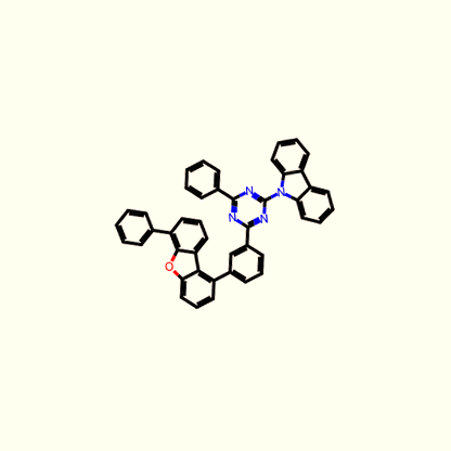 c1ccc(-c2nc(-c3cccc(-c4cccc5oc6c(-c7ccccc7)cccc6c45)c3)nc(-n3c4ccccc4c4ccccc43)n2)cc1